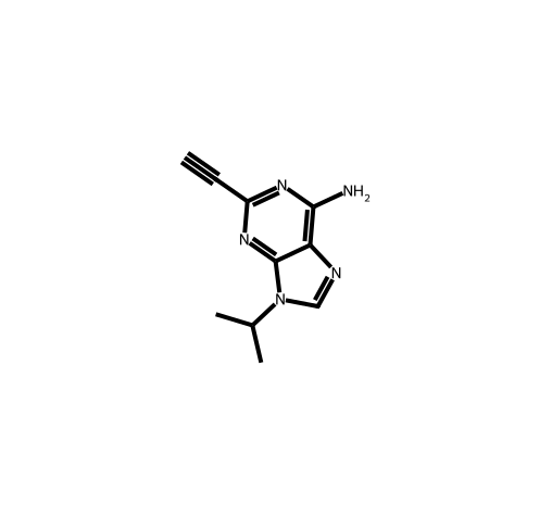 C#Cc1nc(N)c2ncn(C(C)C)c2n1